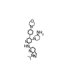 CC(C)n1ncc2ccc(Nc3cc(N4CCC[C@H](N)C4)c(-c4ccc(N5CCOCC5)cc4)cn3)nc21